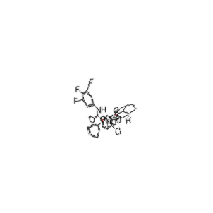 O=C(Nc1cc(F)c(F)c(F)c1)c1ccc(Cl)c(S(=O)(=O)C2C3CC[C@H]2C[C@](O)(/C=N/Oc2ccccc2)C3)c1